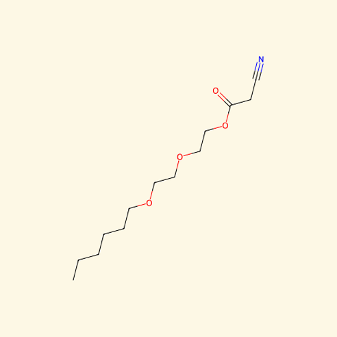 CCCCCCOCCOCCOC(=O)CC#N